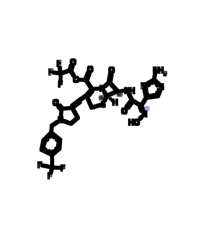 Nc1nc(/C(=N/O)C(=O)N[C@@H]2C(=O)N3C(C(=O)OC(=O)C(F)(F)F)=C(C=C4CCN(Cc5ccc(C(F)(F)F)cc5)C4=O)CS[C@H]23)cs1